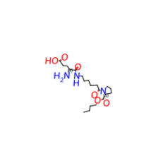 CCCCOC(=O)[C@@H]1CCCN1C(=O)CCCCCNC(=O)[C@H](N)CCC(=O)O